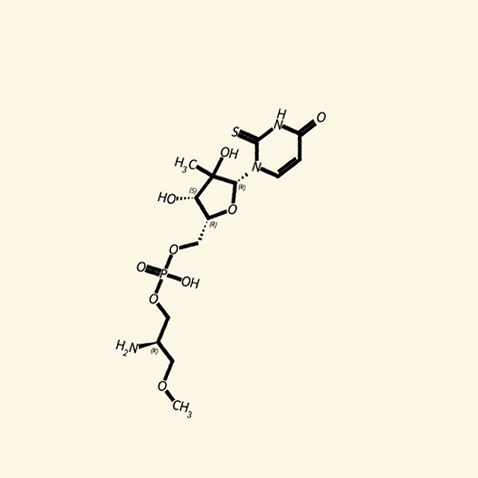 COC[C@@H](N)COP(=O)(O)OC[C@H]1O[C@@H](n2ccc(=O)[nH]c2=S)C(C)(O)[C@H]1O